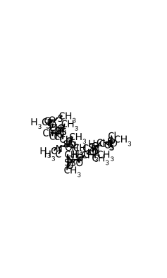 CCOC(=O)CSP(=S)(OCC)OCC.CCOP(=O)(OCC)SCCN(CC)CC.CCOP(=O)(SC(C)CC)SC(C)CC.CCOP(=S)(OCC)OC(Cl)C(Cl)(Cl)Cl.CCOP(=S)(OCC)SCCl.COP(=S)(OC)OCCSC